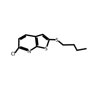 CCCCSc1cc2ccc(Cl)nc2s1